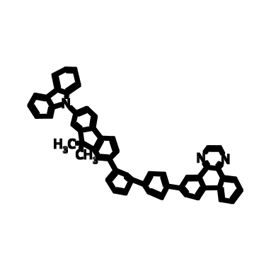 CC1(C)c2cc(-c3cccc(-c4ccc(-c5ccc6c7ccccc7c7nccnc7c6c5)cc4)c3)ccc2-c2ccc(-n3c4ccccc4c4ccccc43)cc21